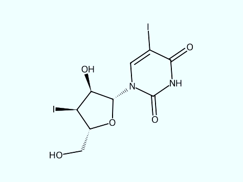 O=c1[nH]c(=O)n([C@@H]2O[C@H](CO)[C@@H](I)[C@H]2O)cc1I